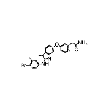 Cc1cc(Nc2nc3cc(Oc4ccnc(CC(N)=O)c4)ccc3n2C)ccc1Br